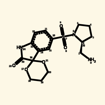 NC[C@@H]1CCCN1S(=O)(=O)c1ccc2c(c1)C1(OCCCO1)C(=O)N2